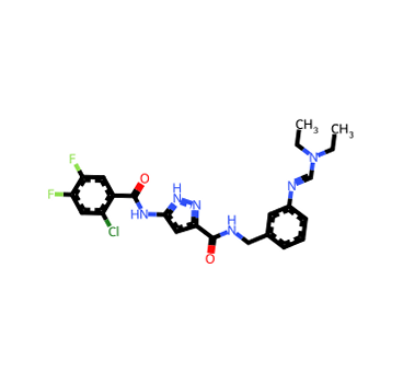 CCN(C=Nc1cccc(CNC(=O)c2cc(NC(=O)c3cc(F)c(F)cc3Cl)[nH]n2)c1)CC